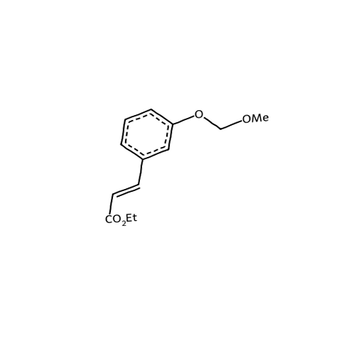 CCOC(=O)C=Cc1cccc(OCOC)c1